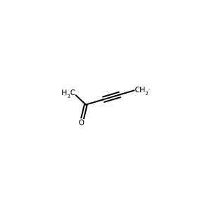 [CH2]C#CC(C)=O